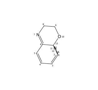 C1=CC2=CC=CC3=NCCOC23N=C1